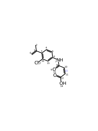 C=C(C)c1ccc(NC(=O)/C=C\C(=O)O)cc1Cl